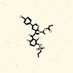 CCCS(=O)(=O)Nc1ccc(F)c(C(=O)c2cn(C(C)OC(=O)CC)c3ncc(-c4ccc(Cl)cc4)cc23)c1F